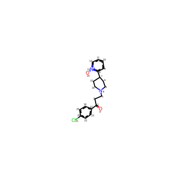 O=C(CCN1CCC(c2cccc[n+]2[O-])CC1)c1ccc(Cl)cc1